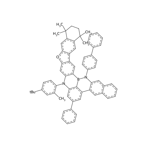 Cc1cc(C(C)(C)C)ccc1N1c2cc3oc4cc5c(cc4c3cc2B2c3c(cc(-c4ccccc4)cc31)-c1cc3ccccc3cc1N2c1ccc(-c2ccccc2)cc1)C(C)(C)CCC5(C)C